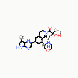 CCc1c[nH]c2ncc(-c3cc4c(c([C@@H]5COCCN5)c3)CN(C(=O)C(C)(C)O)CC4)nc12